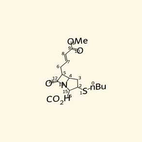 CCCCSC1CC2C(C/C=C/C(=O)OC)C(=O)N2C1C(=O)O